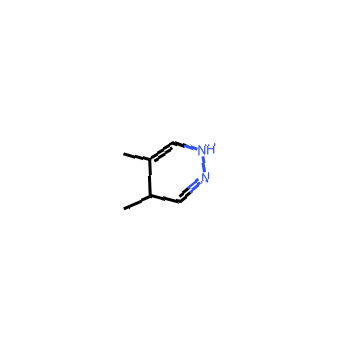 CC1=CNN=CC1C